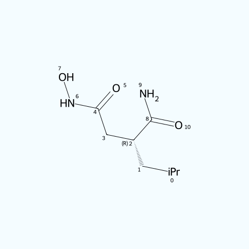 CC(C)C[C@H](CC(=O)NO)C(N)=O